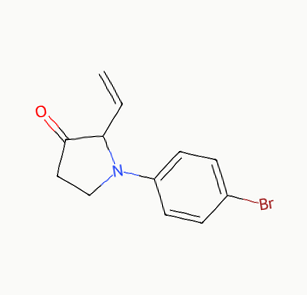 C=CC1C(=O)CCN1c1ccc(Br)cc1